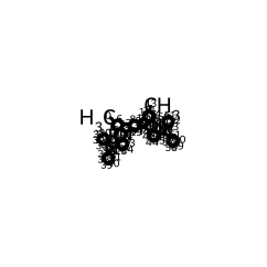 Cc1cc2c3c(c1)c1cc4c5cc(C)cc6c5n(c4cc1n3-c1cccc3c1B2c1ccccc1N3c1ccccc1)-c1cccc2c1B6c1ccccc1N2c1ccccc1